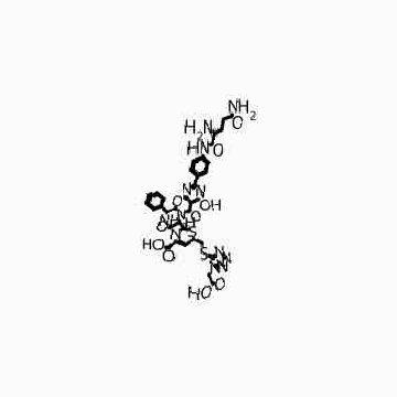 NC(=O)CC[C@H](N)C(=O)Nc1ccc(-c2ncc(C(=O)N(C(=O)C(N)c3ccccc3)C3C(=O)N4C(C(=O)O)=CC(CSc5nnnn5CC(=O)O)S[C@@H]34)c(O)n2)cc1